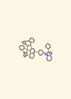 c1ccc(-c2nc3ccccc3n2-c2ccc(-c3cc4c(c5ccccc35)C3(c5ccccc5-c5ccccc53)c3c-4c4ccccc4c4ccccc34)cc2)cc1